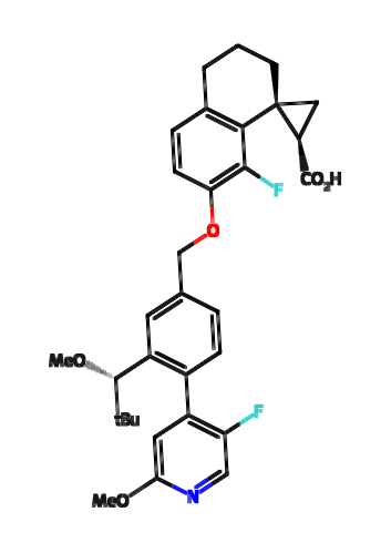 COc1cc(-c2ccc(COc3ccc4c(c3F)[C@]3(CCC4)C[C@H]3C(=O)O)cc2[C@@H](OC)C(C)(C)C)c(F)cn1